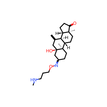 C=C1C[C@@]2(O)CC(=NOCCCNC)CC[C@]2(C)[C@H]2CC[C@]3(C)C(=O)CC[C@H]3[C@H]12